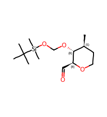 C[C@H]1CCO[C@@H](C=O)[C@@H]1OCO[Si](C)(C)C(C)(C)C